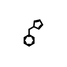 [c]1ccc(CC2C=CC=C2)cc1